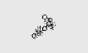 CC(C)(C)OC(=O)N1CC[C@@H](C2CCCCC2)[C@H]1C(=O)Nc1ccc(C(=O)NS(=O)(=O)c2ccccn2)cc1